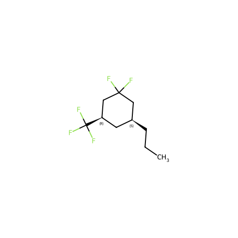 CCC[C@H]1C[C@@H](C(F)(F)F)CC(F)(F)C1